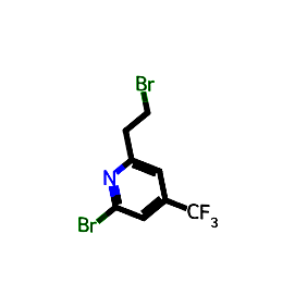 FC(F)(F)c1cc(Br)nc(CCBr)c1